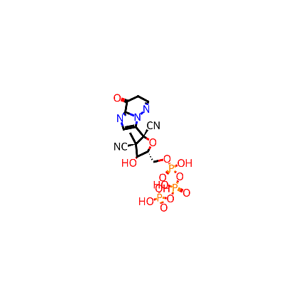 C[C@@]1(C#N)[C@H](O)[C@@H](COP(=O)(O)OP(=O)(O)OP(=O)(O)O)O[C@@]1(C#N)c1cnc2n1N=CCC2=O